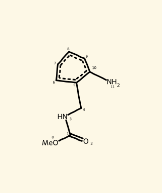 COC(=O)NCc1ccccc1N